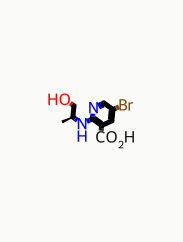 C[C@@H](CO)Nc1ncc(Br)cc1C(=O)O